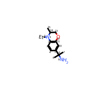 CCN1c2ccc(C(C)(C)N)cc2OCC1C